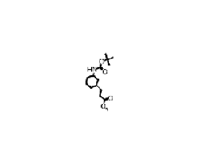 COC(=O)CC[C@H]1CCC[C@H](NC(=O)OC(C)(C)C)C1